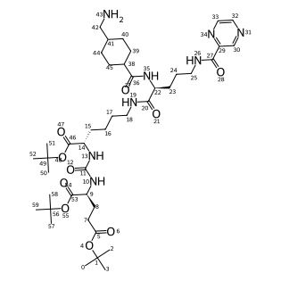 CC(C)(C)OC(=O)CC[C@H](NC(=O)N[C@@H](CCCCNC(=O)[C@H](CCCNC(=O)c1cnccn1)NC(=O)C1CCC(CN)CC1)C(=O)OC(C)(C)C)C(=O)OC(C)(C)C